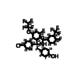 O=C(N[C@@](Cc1ccc(O)cc1)(c1cc(F)cc(OC(F)(F)C(F)F)c1)c1ccc(Cl)cn1)c1ccc(F)c(C(F)(F)F)c1